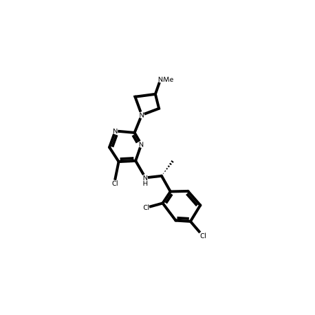 CNC1CN(c2ncc(Cl)c(N[C@H](C)c3ccc(Cl)cc3Cl)n2)C1